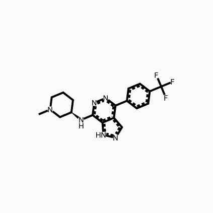 CN1CCC[C@@H](Nc2nnc(-c3ccc(C(F)(F)F)cc3)c3cn[nH]c23)C1